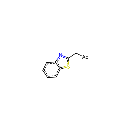 CC(=O)Cc1nc2ccccc2s1